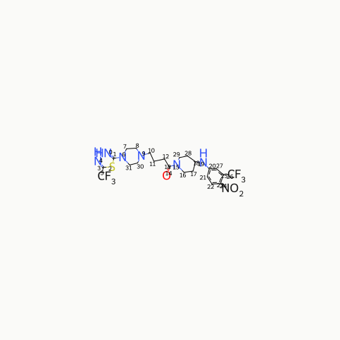 N=C(SC(=N)C(F)(F)F)N1CCN(CCCC(=O)N2CCC(Nc3ccc([N+](=O)[O-])c(C(F)(F)F)c3)CC2)CC1